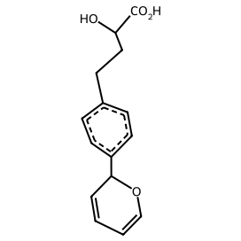 O=C(O)C(O)CCc1ccc(C2C=CC=CO2)cc1